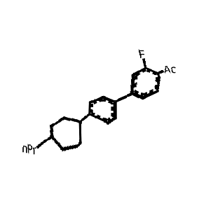 CCCC1CCC(c2ccc(-c3ccc(C(C)=O)c(F)c3)cc2)CC1